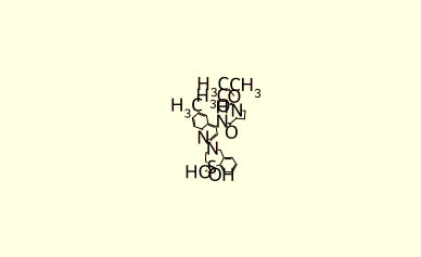 Cc1ccc2nc(N3CCS(O)(O)c4ccccc4C3)cc(NC(=O)C3CCN3C(=O)OC(C)(C)C)c2c1